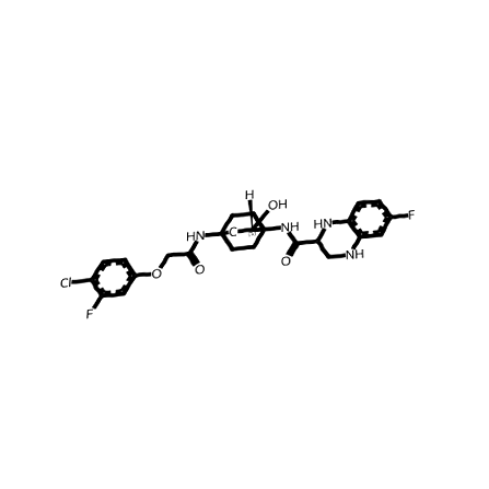 O=C(COc1ccc(Cl)c(F)c1)NC12CCC(NC(=O)C3CNc4cc(F)ccc4N3)(CC1)[C@@H](O)C2